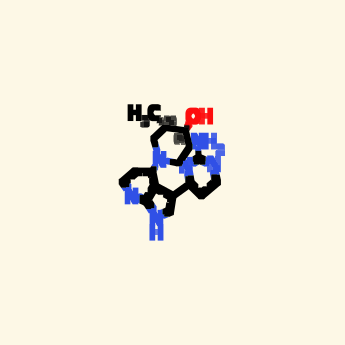 C[C@H]1CN(c2ccnc3[nH]cc(-c4ccnc(N)n4)c23)CC[C@@H]1O